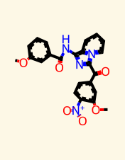 COc1cccc(C(=O)Nc2nc(C(=O)c3ccc([N+](=O)[O-])c(OC)c3)n3ccccc23)c1